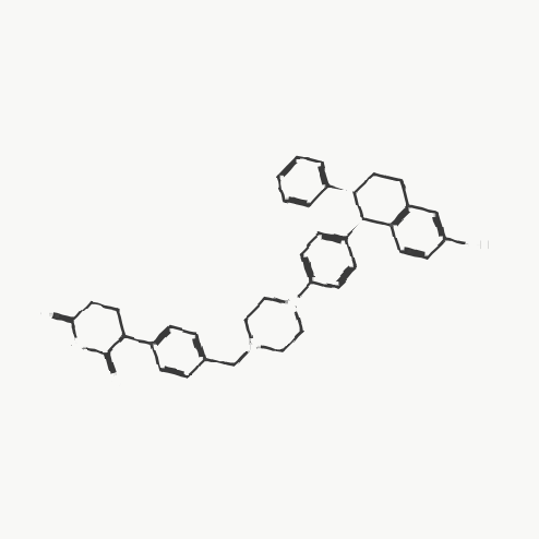 O=C1CCC(c2ccc(CN3CCN(c4ccc([C@@H]5c6ccc(O)cc6CC[C@@H]5c5ccccc5)cc4)CC3)cc2)C(=O)N1